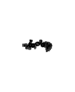 CC(C)OP(=O)(OC(C)C)C(Cc1ccc(C(=O)N2CCN(c3cc4c(cc3F)c(=O)c(C(=O)O)cn4C3CC3)CC2)cc1)P(=O)(OC(C)C)OC(C)C